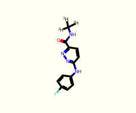 [2H]C([2H])([2H])NC(=O)c1ccc(Nc2ccc(F)cc2)nn1